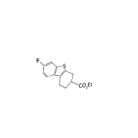 CCOC(=O)C1CCc2c(sc3cc(F)ccc23)C1